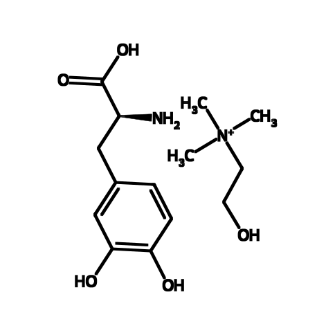 C[N+](C)(C)CCO.N[C@@H](Cc1ccc(O)c(O)c1)C(=O)O